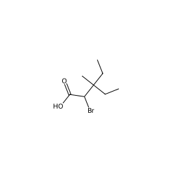 CCC(C)(CC)C(Br)C(=O)O